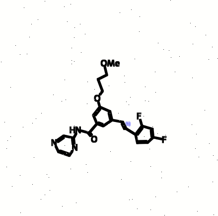 COCCCOc1cc(/C=C/c2ccc(F)cc2F)cc(C(=O)Nc2cnccn2)c1